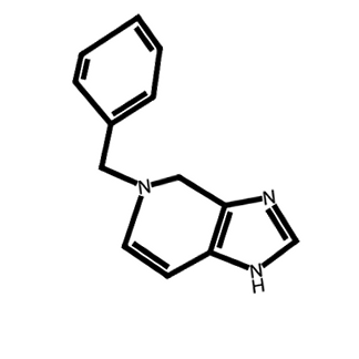 C1=CN(Cc2ccccc2)Cc2nc[nH]c21